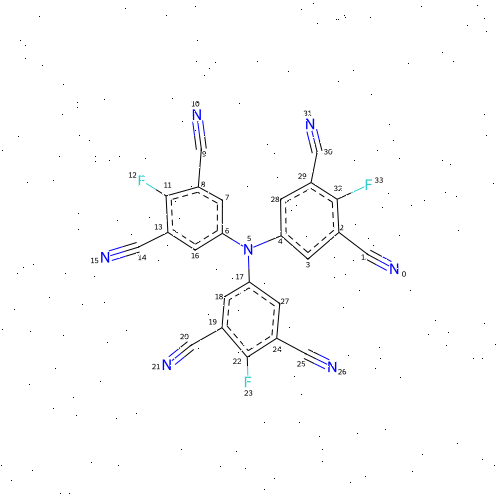 N#Cc1cc(N(c2cc(C#N)c(F)c(C#N)c2)c2cc(C#N)c(F)c(C#N)c2)cc(C#N)c1F